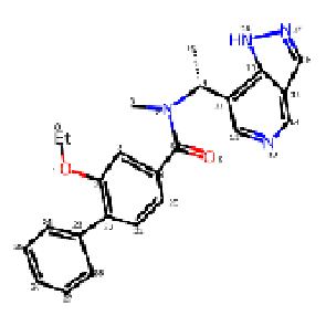 CCOc1cc(C(=O)N(C)[C@H](C)c2cncc3cn[nH]c23)ccc1-c1ccccc1